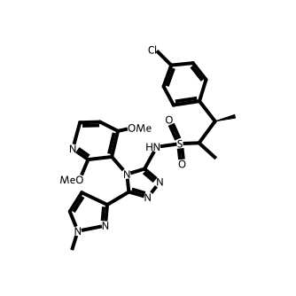 COc1ccnc(OC)c1-n1c(NS(=O)(=O)C(C)[C@H](C)c2ccc(Cl)cc2)nnc1-c1ccn(C)n1